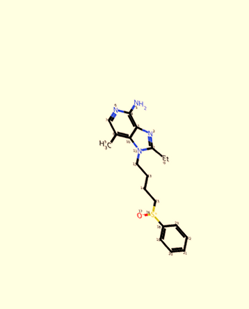 CCc1nc2c(N)ncc(C)c2n1CCCC[S+]([O-])c1ccccc1